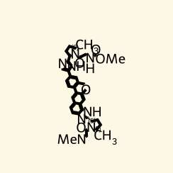 CNCC(=O)N1[C@@H](C)CC[C@H]1c1nc2ccc3cc4c(cc3c2[nH]1)OCc1cc(-c2cnc(C3CC[C@H](C)N3C(=O)CNC(=O)OC)[nH]2)ccc1-4